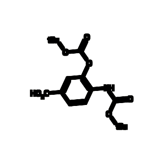 CC(C)(C)OC(=O)Nc1ccc(C(=O)O)cc1OC(=O)OC(C)(C)C